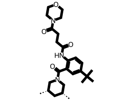 C[C@@H]1C[C@H](C)CN(C(=O)c2cc(C(C)(C)C)ccc2NC(=O)CCC(=O)N2CCOCC2)C1